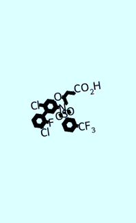 O=C(O)CCC1CN(S(=O)(=O)c2cccc(C(F)(F)F)c2)c2cc(-c3cccc(Cl)c3F)c(Cl)cc2O1